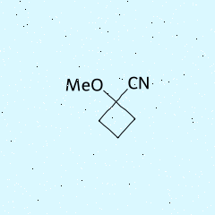 COC1(C#N)CCC1